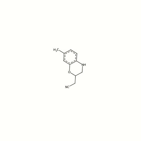 Cc1ccc2c(c1)OC(CC#N)CN2